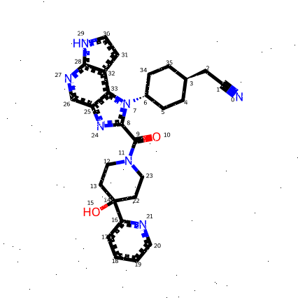 N#CC[C@H]1CC[C@H](n2c(C(=O)N3CCC(O)(c4ccccn4)CC3)nc3cnc4[nH]ccc4c32)CC1